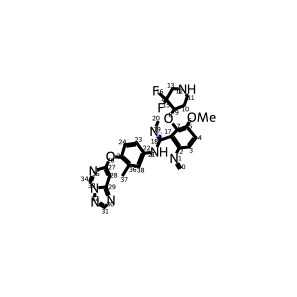 C=Nc1ccc(OC)c(OC2CCNCC2(F)F)c1/C(=N\C)Nc1ccc(Oc2cc3ncnn3cn2)c(C)c1